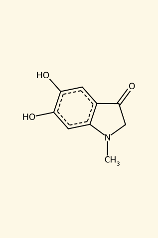 CN1CC(=O)c2cc(O)c(O)cc21